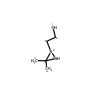 CC1(C)NN1CCO